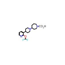 O=C(O)N1CCCC(N2CCC(c3cccnc3OC(F)F)CC2)CC1